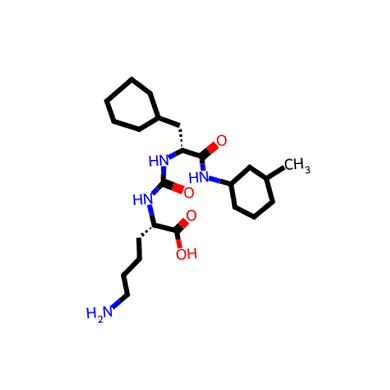 CC1CCCC(NC(=O)[C@@H](CC2CCCCC2)NC(=O)N[C@@H](CCCCN)C(=O)O)C1